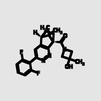 CC1(O)CN(C(=O)[C@]23CC[C@H](c4cc(-c5c(F)cccc5F)nnc42)C3(C)C)C1